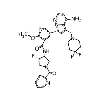 COc1ncc(-c2cc(CN3CCC(F)(F)CC3)c3c(N)ncnn23)cc1C(=O)N[C@@H]1CN(C(=O)c2ccccn2)C[C@@H]1F